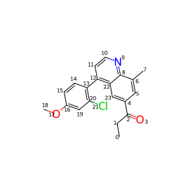 CCC(=O)c1cc(C)c2nccc(-c3ccc(OC)cc3Cl)c2c1